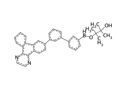 CC(C)(O)C(C)(C)OBc1cccc(-c2cccc(-c3ccc4c(c3)c3ccccc3c3nccnc43)c2)c1